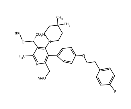 COCc1nc(C)c([C@H](OC(C)(C)C)C(=O)O)c(N2CCC(C)(C)CC2)c1-c1ccc(OCCc2ccc(F)cc2)cc1